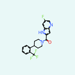 O=C(c1cc2ncc(F)cc2[nH]1)N1CCC(c2ccccc2C(F)(F)F)CC1